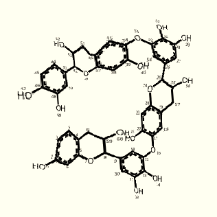 Oc1ccc2c(c1)OC(c1cc(O)c(O)c(Oc3cc4c(cc3O)OC(c3cc(O)c(O)c(Oc5cc6c(cc5O)OC(c5ccc(O)c(O)c5)C(O)C6)c3)C(O)C4)c1)C(O)C2